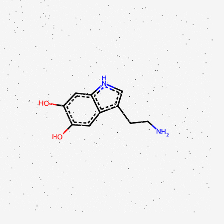 NCCc1c[nH]c2cc(O)c(O)cc12